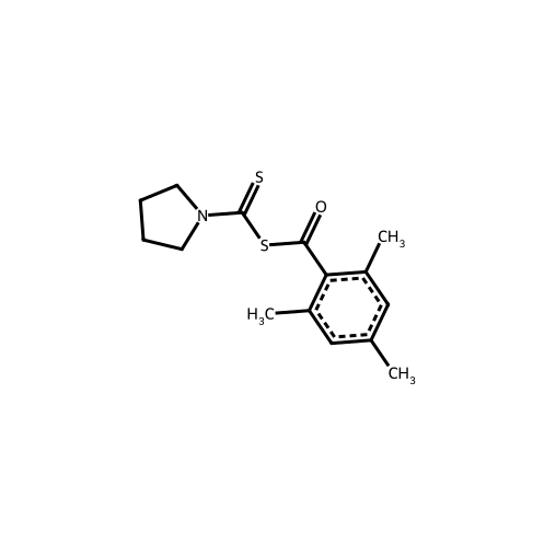 Cc1cc(C)c(C(=O)SC(=S)N2CCCC2)c(C)c1